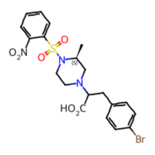 C[C@H]1CN(C(Cc2ccc(Br)cc2)C(=O)O)CCN1S(=O)(=O)c1ccccc1[N+](=O)[O-]